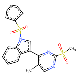 CS(=O)(=O)c1ncc(C(F)(F)F)c(-c2cn(S(=O)(=O)c3ccccc3)c3ccccc23)n1